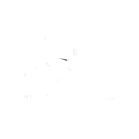 Cc1ccc2c(c1)CCc1[nH]c([C@@H]3C[C@@H]4CCCC[C@@H]4N3C(=O)[C@@H](C)C(C)C)nc1-2